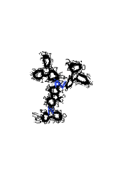 CC1(C)c2cc(N(c3ccc(-c4ccccc4)c(-c4ccccc4)c3)c3ccc(-c4ccccc4)c(-c4ccccc4)c3)ccc2-c2ccc(-n3c4ccccc4c4ccccc43)cc21